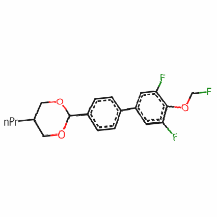 CCCC1COC(c2ccc(-c3cc(F)c(OCF)c(F)c3)cc2)OC1